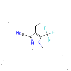 CCc1c(C#N)nn(C)c1C(F)(F)F